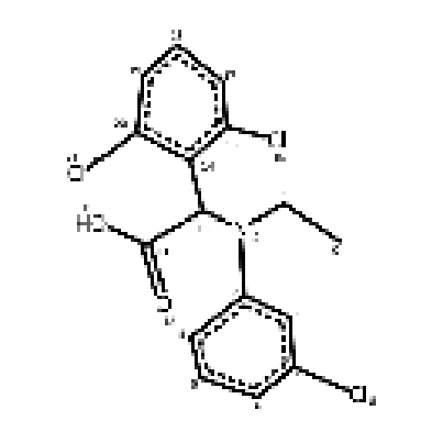 CCN(c1cccc(Cl)c1)C(C(=O)O)c1c(Cl)cccc1Cl